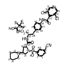 N#Cc1cccc(S(=O)(=O)N2CC(N3CCCCC3)C[C@H]2C(=O)N[C@@H](Cc2ccc(NC(=O)c3c(Cl)cncc3Cl)cc2)C(=O)O)c1.O=C(O)C(F)(F)F